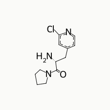 N[C@H](Cc1ccnc(Cl)c1)C(=O)N1CCCC1